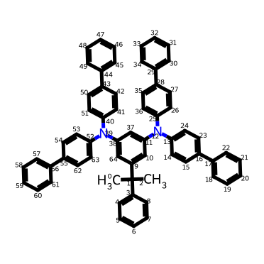 CC(C)(c1ccccc1)c1cc(N(c2ccc(-c3ccccc3)cc2)c2ccc(-c3ccccc3)cc2)cc(N(c2ccc(-c3ccccc3)cc2)c2ccc(-c3ccccc3)cc2)c1